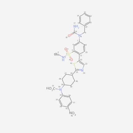 CC(C)(C)NS(=O)(=O)c1cc(N(Cc2ccccc2)C(N)=O)ccc1-c1cnc(C2CCC(N(C(=O)O)c3ccc([N+](=O)[O-])cc3)CC2)s1